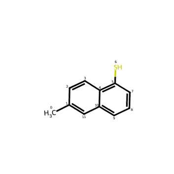 Cc1ccc2c(S)cccc2c1